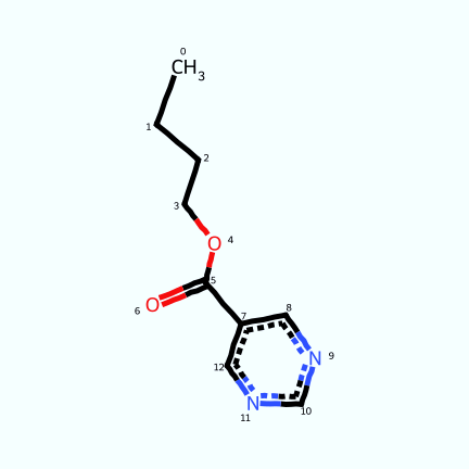 CCCCOC(=O)c1cncnc1